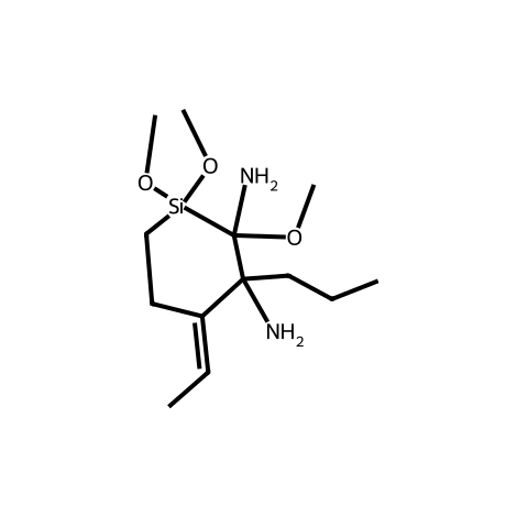 CC=C1CC[Si](OC)(OC)C(N)(OC)C1(N)CCC